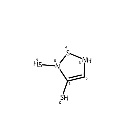 SC1=CNSN1S